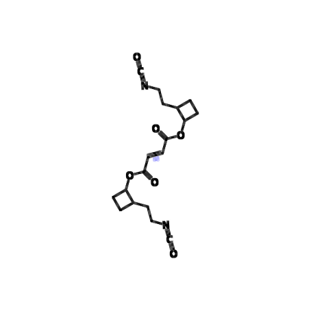 O=C=NCCC1CCC1OC(=O)/C=C/C(=O)OC1CCC1CCN=C=O